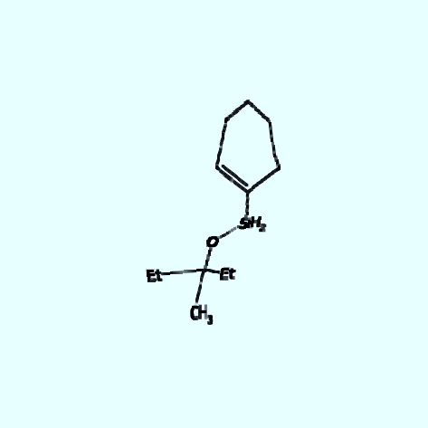 CCC(C)(CC)O[SiH2]C1=CCCCC1